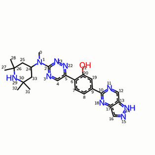 CN(c1ncc(-c2ccc(-c3ncc4[nH]ncc4n3)cc2O)nn1)C1CC(C)(C)NC(C)(C)C1